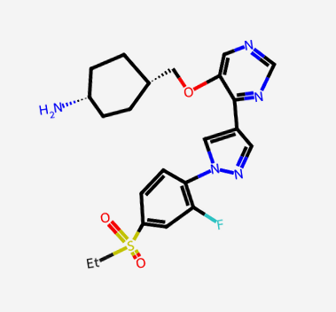 CCS(=O)(=O)c1ccc(-n2cc(-c3ncncc3OC[C@H]3CC[C@@H](N)CC3)cn2)c(F)c1